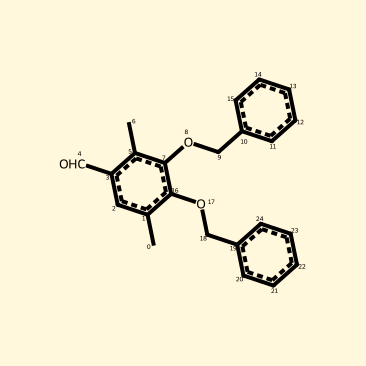 Cc1cc(C=O)c(C)c(OCc2ccccc2)c1OCc1ccccc1